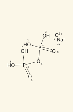 O=P(O)(O)OP(=O)(O)O.[C+4].[Na+]